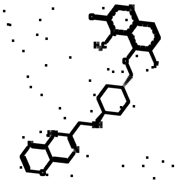 Cn1c(=O)cnc2ccc(F)c(OC[C@H]3CC[C@H](NCC4=NC=C5OC=CN=C5N4)CC3)c21